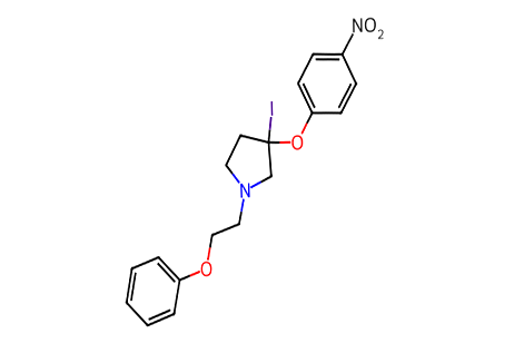 O=[N+]([O-])c1ccc(OC2(I)CCN(CCOc3ccccc3)C2)cc1